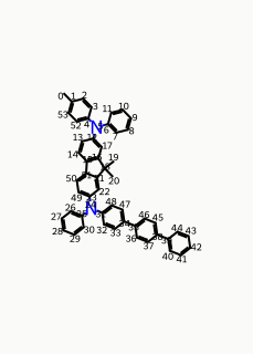 Cc1ccc(N(c2ccccc2)c2ccc3c(c2)C(C)(C)c2cc(N(c4ccccc4)c4ccc(-c5ccc(-c6ccccc6)cc5)cc4)ccc2-3)cc1